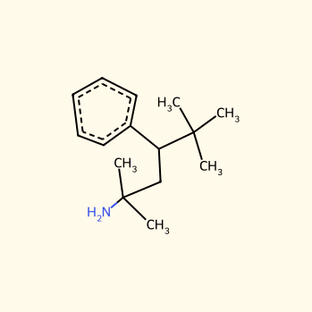 CC(C)(N)CC(c1ccccc1)C(C)(C)C